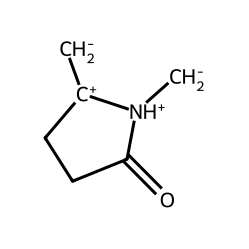 [CH2-][C+]1CCC(=O)[NH+]1[CH2-]